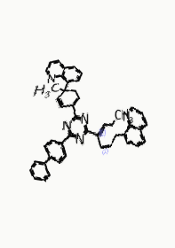 CC/C=C(\C=C/Cc1cccc2cccnc12)c1nc(C2=CCC(C)(c3cccc4cccnc34)C=C2)nc(-c2ccc(-c3ccccc3)cc2)n1